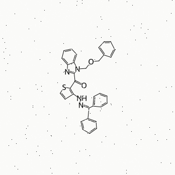 O=C(c1sccc1NN=C(c1ccccc1)c1ccccc1)c1nc2ccccc2n1COCc1ccccc1